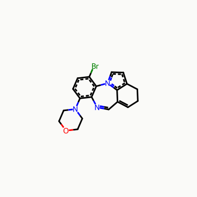 Brc1ccc(N2CCOCC2)c2c1-n1ccc3c1C(=CCC3)C=N2